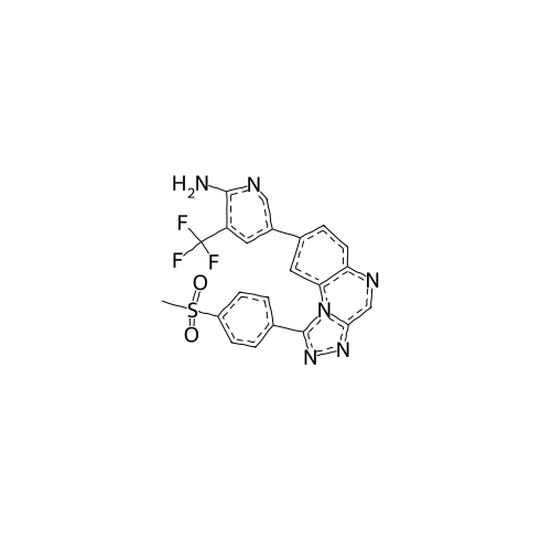 CS(=O)(=O)c1ccc(-c2nnc3cnc4ccc(-c5cnc(N)c(C(F)(F)F)c5)cc4n23)cc1